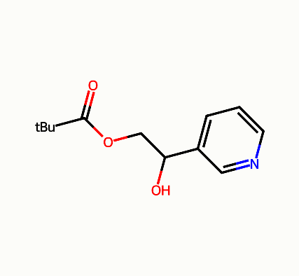 CC(C)(C)C(=O)OCC(O)c1cccnc1